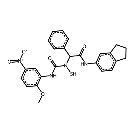 COc1ccc([N+](=O)[O-])cc1NC(=O)N(S)C(C(=O)Nc1ccc2c(c1)CCC2)c1ccccc1